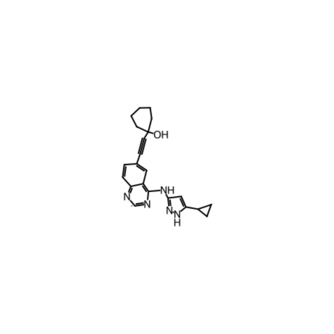 OC1(C#Cc2ccc3n[c]nc(Nc4cc(C5CC5)[nH]n4)c3c2)CCCCC1